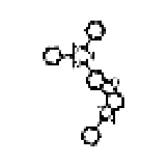 c1ccc(-c2nc(-c3ccccc3)nc(-c3ccc4c(c3)oc3ccc5nc(-c6ccccc6)sc5c34)n2)cc1